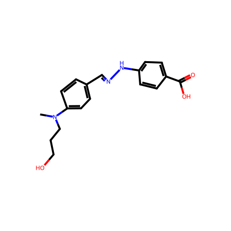 CN(CCCO)c1ccc(C=NNc2ccc(C(=O)O)cc2)cc1